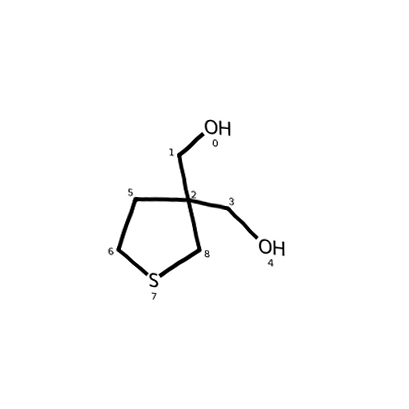 OCC1(CO)CCSC1